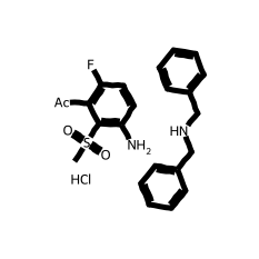 CC(=O)c1c(F)ccc(N)c1S(C)(=O)=O.Cl.c1ccc(CNCc2ccccc2)cc1